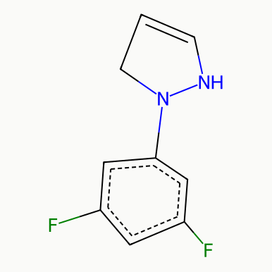 Fc1cc(F)cc(N2CC=CN2)c1